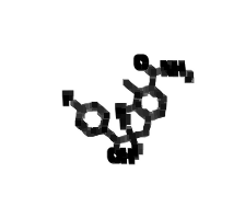 Cc1c(C(N)=O)ccc(CC(F)(F)C(O)c2ccc(F)cc2)c1F